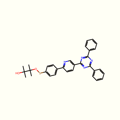 CC(C)(O)C(C)(C)OSc1ccc(-c2ccc(-c3nc(-c4ccccc4)nc(-c4ccccc4)n3)cn2)cc1